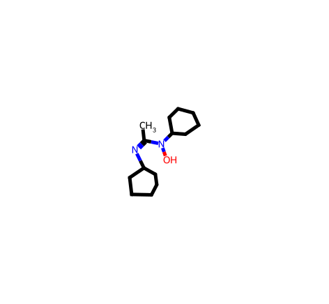 CC(=NC1CCCCC1)N(O)C1CCCCC1